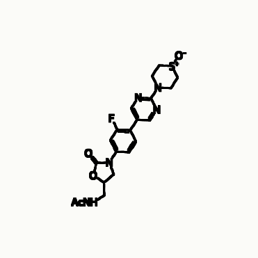 CC(=O)NCC1CN(c2ccc(-c3cnc(N4CC[S+]([O-])CC4)nc3)c(F)c2)C(=O)O1